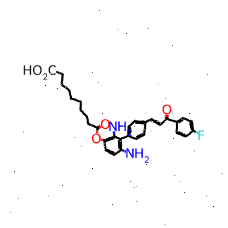 Nc1ccc(OC(=O)CCCCCCCCC(=O)O)c(N)c1-c1ccc(C=CC(=O)c2ccc(F)cc2)cc1